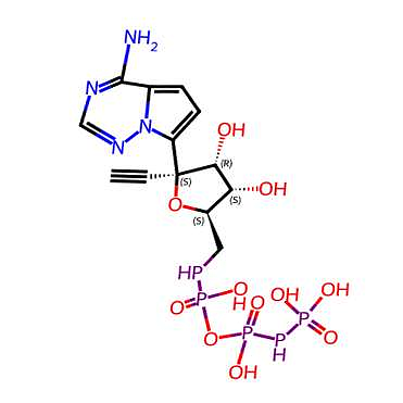 C#C[C@@]1(c2ccc3c(N)ncnn23)O[C@H](CPP(=O)(O)OP(=O)(O)PP(=O)(O)O)[C@@H](O)[C@H]1O